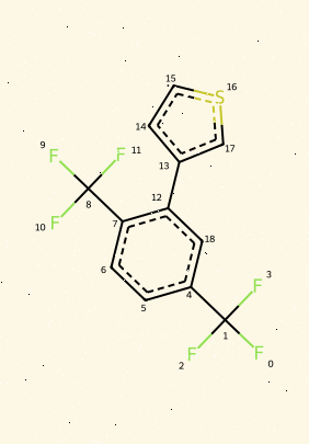 FC(F)(F)c1ccc(C(F)(F)F)c(-c2c[c]sc2)c1